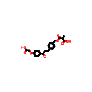 CC(C(=O)O)C(=O)OCc1ccc(/C=C/C(=O)c2ccc(OCC(=O)O)cc2)cc1